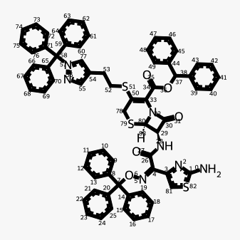 Nc1nc(/C(=N/OC(c2ccccc2)(c2ccccc2)c2ccccc2)C(=O)N[C@@H]2C(=O)N3C(C(=O)OC(c4ccccc4)c4ccccc4)=C(SCCc4cnn(C(c5ccccc5)(c5ccccc5)c5ccccc5)c4)CS[C@H]23)cs1